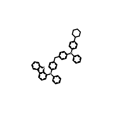 c1ccc(N(c2ccc(Cc3ccc(N(c4ccccc4)c4cccc5c4sc4ccccc45)cc3)cc2)c2ccc(C3CCCCC3)cc2)cc1